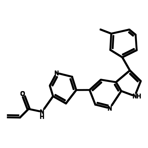 C=CC(=O)Nc1cncc(-c2cnc3[nH]cc(-c4cccc(C)c4)c3c2)c1